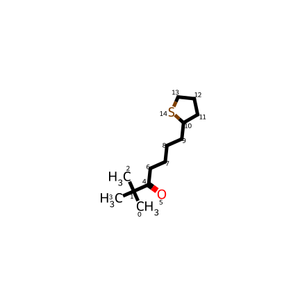 CC(C)(C)C(=O)CCCCC1CCCS1